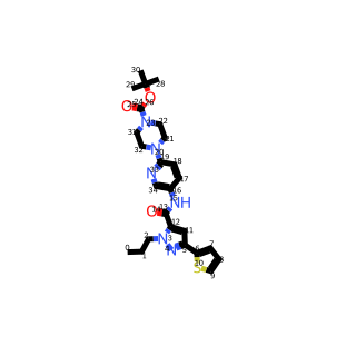 CCCn1nc(-c2cccs2)cc1C(=O)Nc1ccc(N2CCN(C(=O)OC(C)(C)C)CC2)nc1